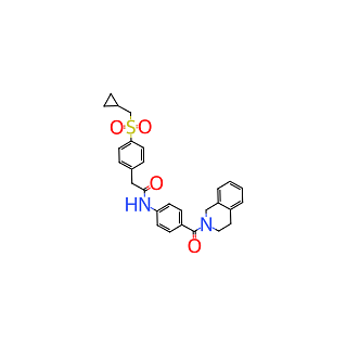 O=C(Cc1ccc(S(=O)(=O)CC2CC2)cc1)Nc1ccc(C(=O)N2CCc3ccccc3C2)cc1